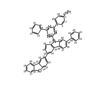 CCCc1ccc(-c2nc(-c3ccccc3)nc(-n3c4ccc(-c5ccc6oc7ccccc7c6c5)cc4c4ccc(-c5ccccc5)cc43)n2)cc1